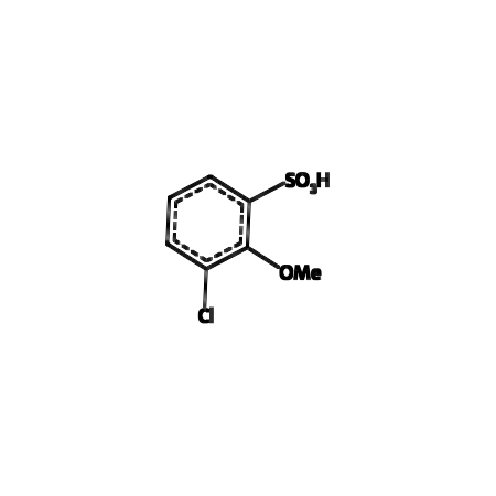 COc1c(Cl)cccc1S(=O)(=O)O